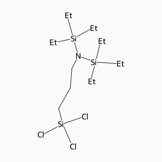 CC[Si](CC)(CC)N(CCC[Si](Cl)(Cl)Cl)[Si](CC)(CC)CC